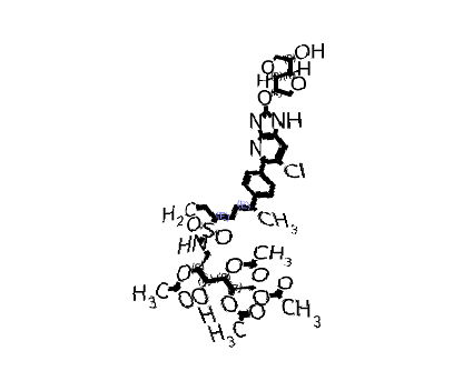 C=C/C(=C\C=C(/C)c1ccc(-c2nc3nc(O[C@@H]4CO[C@H]5[C@@H]4OC[C@H]5O)[nH]c3cc2Cl)cc1)S(=O)(=O)NC[C@H](OC(C)=O)[C@@H](O)[C@H](OC(C)=O)[C@@H](COC(C)=O)OC(C)=O